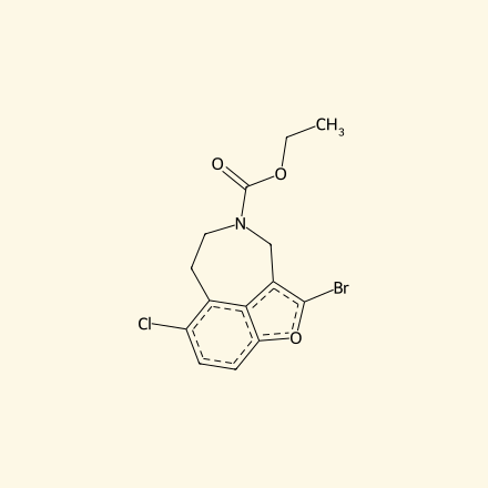 CCOC(=O)N1CCc2c(Cl)ccc3oc(Br)c(c23)C1